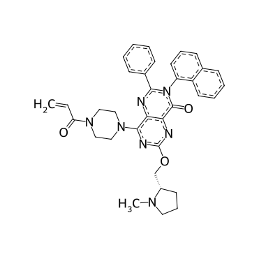 C=CC(=O)N1CCN(c2nc(OC[C@@H]3CCCN3C)nc3c(=O)n(-c4cccc5ccccc45)c(-c4ccccc4)nc23)CC1